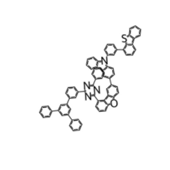 c1ccc(-c2cc(-c3ccccc3)cc(-c3cccc(-c4nc(-c5ccccc5)nc(-c5cccc6oc7ccc(-c8ccc9c(c8)c8ccccc8n9-c8cccc(-c9cccc%10c9sc9ccccc9%10)c8)cc7c56)n4)c3)c2)cc1